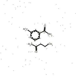 CCCC(N)=O.Cc1cc(C(N)=O)ccn1